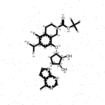 Cc1ncnc2c1ccn2[C@@H]1C[C@H](Oc2cc(C(F)F)c(F)c3c2CN(C(=O)OC(C)(C)C)CC3)[C@@H](O)[C@H]1O